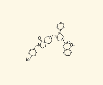 COc1ccccc1CC(=O)N1C[C@H](CN2CCC3(CC2)CCN(Cc2ccc(Br)cc2)C3=O)[C@@H](c2ccccc2)C1